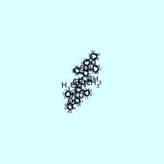 C[Si]1(C)c2cc3c(cc2-c2c1cc(N(c1ccccc1)c1cccc4c1oc1ccccc14)c1oc4ccccc4c21)[Si](C)(C)c1cc(N(c2ccccc2)c2cccc4c2oc2ccccc24)c2oc4ccccc4c2c1-3